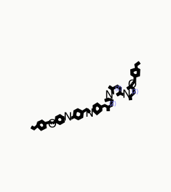 C=Cc1ccc(COC(=C)/C=C\C(=C)N=CC(=C)/C=C\C(=C)C=NC(=C)/C=C\C(=C)Cc2ccc(N=Cc3ccc(C=Nc4ccc(OCc5ccc(C=C)cc5)cc4)cc3)cc2)cc1